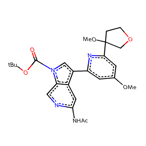 COc1cc(-c2cn(C(=O)OC(C)(C)C)c3cnc(NC(C)=O)cc23)nc(C2(OC)CCOC2)c1